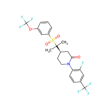 CC(C)([C@@H]1CCN(c2ccc(C(F)(F)F)cc2F)C(=O)C1)S(=O)(=O)c1cccc(OC(F)(F)F)c1